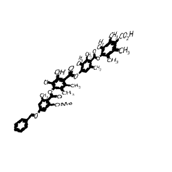 COc1cc(OCc2ccccc2)cc(C)c1C(=O)Oc1c(C)c(C)c(C(=O)Oc2cc(C)c(C(=O)Oc3c(C)c(C)c(C(=O)O)c(C)c3C)c(C)c2C)c(O)c1Cl